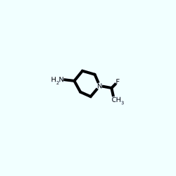 CC(F)N1CCC(N)CC1